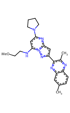 COCCNc1cc(N2CCCC2)nc2cc(-c3nc4cc(C)ccc4nc3C)nn12